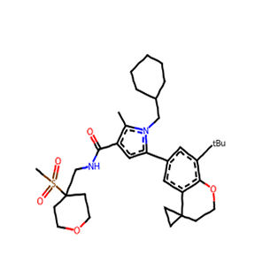 Cc1c(C(=O)NCC2(S(C)(=O)=O)CCOCC2)cc(-c2cc(C(C)(C)C)c3c(c2)C2(CCO3)CC2)n1CC1CCCCC1